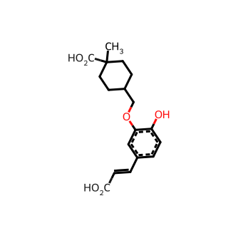 CC1(C(=O)O)CCC(COc2cc(C=CC(=O)O)ccc2O)CC1